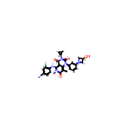 Cc1c(=O)n(C)c(Nc2ccc(I)cc2F)c2c(=O)n(C3CC3)c(=O)n(-c3cccc(N4CC(O)C4)c3)c12